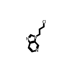 ClCCCn1cnc2ccncc21